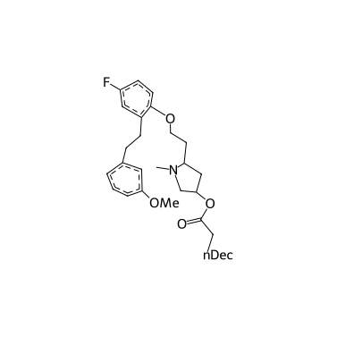 CCCCCCCCCCCC(=O)OC1CC(CCOc2ccc(F)cc2CCc2cccc(OC)c2)N(C)C1